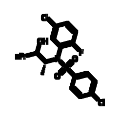 CCCC(O)[C@@H](C)N(c1cc(Cl)ccc1F)S(=O)(=O)c1ccc(Cl)cc1